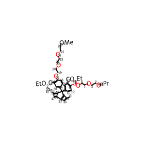 CCCOCCOCCOOc1ccc(C2(c3ccc(OCCOCCOCCOC)c(C(=O)OCC)c3)C3=C(C=C3C)C3=CC(C(C)C)=C32)cc1C(=O)OCC